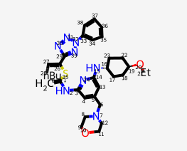 C=C(Nc1cc(CN2CCOCC2)cc(N[C@H]2CC[C@H](OCC)CC2)n1)S/C(=C\CCCC)c1nnn(-c2ccccc2)n1